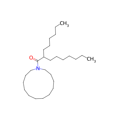 CCCCCCCC(CCCCCC)C(=O)N1CCCCCCCCCCCC1